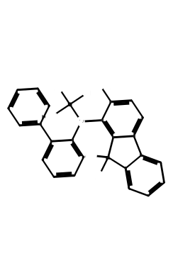 Cc1ccc2c(c1N(c1ccccc1-c1ccccc1)C(C)(C)C)C(C)(C)c1ccccc1-2